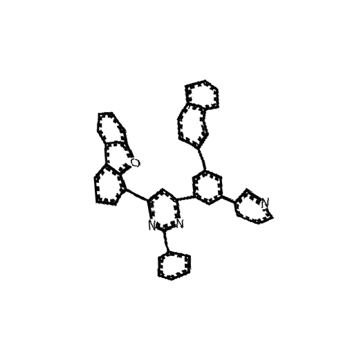 c1ccc(-c2nc(-c3cc(-c4cccnc4)cc(-c4ccc5ccccc5c4)c3)cc(-c3cccc4c3oc3ccccc34)n2)cc1